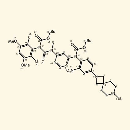 CCN1CCC2(CC1)CN(c1ccc(N(C(=O)OC(C)(C)C)c3cc(N(C)C(=O)N(C(=O)OC(C)(C)C)c4c(Cl)c(OC)cc(OC)c4Cl)ncn3)c([N+](=O)[O-])c1)C2